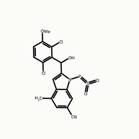 COc1ccc(Cl)c(C(O)c2cc3c(C)cc(C#N)cc3n2P=S(=O)=O)c1Cl